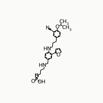 CC(C)Oc1ccc(CCCNc2ccc(CNCCCO[PH](=O)O)cc2-c2ccco2)cc1C#N